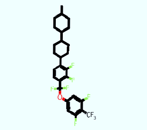 CC1CCC(C2CCC(c3ccc(C(F)(F)Oc4cc(F)c(C(F)(F)F)c(F)c4)c(F)c3F)CC2)CC1